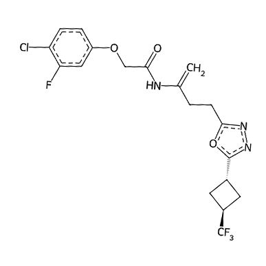 C=C(CCc1nnc([C@H]2C[C@H](C(F)(F)F)C2)o1)NC(=O)COc1ccc(Cl)c(F)c1